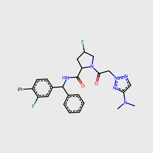 CC(C)c1ccc(C(NC(=O)C2CC(F)CN2C(=O)Cn2ncc(N(C)C)n2)c2ccccc2)cc1F